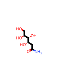 NC(=O)C[C@H](O)[C@@H](O)[C@@H](O)CO